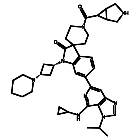 CC(C)n1cnc2cc(-c3ccc4c(c3)N([C@H]3C[C@@H](N5CCCCC5)C3)C(=O)C43CCN(C(=O)C4C5CNCC54)CC3)nc(NC3CC3)c21